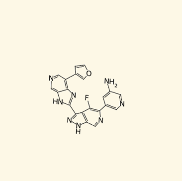 Nc1cncc(-c2ncc3[nH]nc(-c4nc5c(-c6ccoc6)cncc5[nH]4)c3c2F)c1